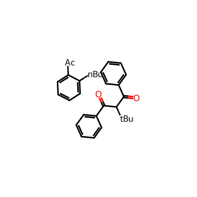 CC(C)(C)C(C(=O)c1ccccc1)C(=O)c1ccccc1.CCCCc1ccccc1C(C)=O